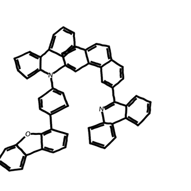 c1ccc(-c2ccccc2N(c2ccc(-c3cccc4c3oc3ccccc34)cc2)c2ccc3ccc4ccc(-c5nc6ccccc6c6ccccc56)cc4c3c2)cc1